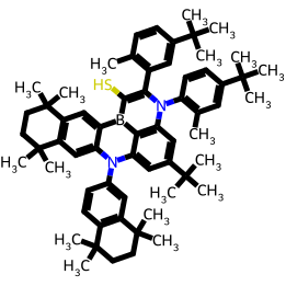 Cc1ccc(C(C)(C)C)cc1C1=C(S)B2c3cc4c(cc3N(c3ccc5c(c3)C(C)(C)CCC5(C)C)c3cc(C(C)(C)C)cc(c32)N1c1ccc(C(C)(C)C)cc1C)C(C)(C)CCC4(C)C